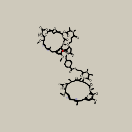 COc1cc2cc(c1Cl)N(C)C(=O)CC(OC(=O)C(C)N(C)C(=O)CCSC1CC(=O)N(CC3CCC(C(=O)SCCC(=O)N(C)C(C)C(=O)OC4CC(=O)N(C)c5cc(cc(OC)c5Cl)C/C(C)=C/C=C/C(OC)C5(O)CC(OC(=O)N5)C(C)C5OC45C)CC3)C1=O)C1(C)CC(C)(O1)C1CC(O)(NC(=O)O1)C(OC)/C=C/C=C(\C)C2